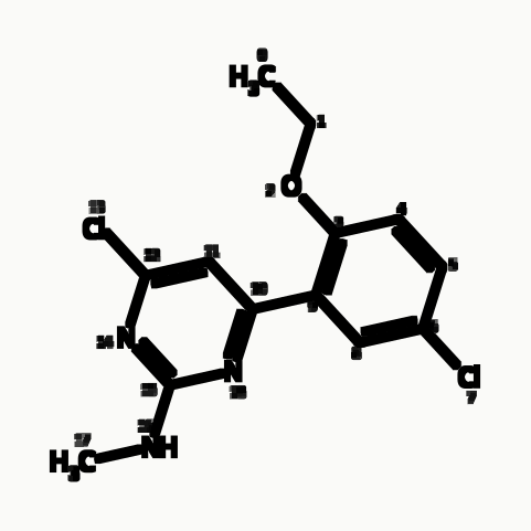 CCOc1ccc(Cl)cc1-c1cc(Cl)nc(NC)n1